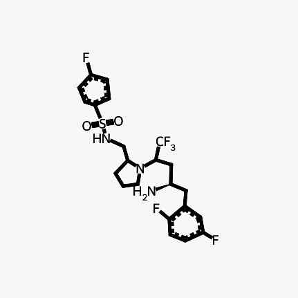 N[C@H](Cc1cc(F)ccc1F)CC(N1CCCC1CNS(=O)(=O)c1ccc(F)cc1)C(F)(F)F